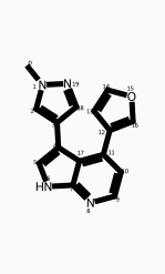 Cn1cc(-c2c[nH]c3nccc(-c4ccoc4)c23)cn1